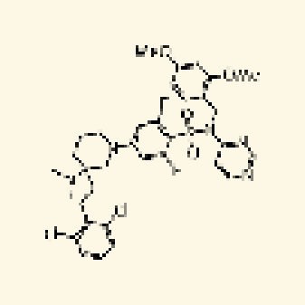 COc1ccc(CN(c2ccncn2)S(=O)(=O)c2c(F)cc(N3CCCC(CCc4c(Cl)cccc4Cl)(N(C)C)C3)cc2F)c(OC)c1